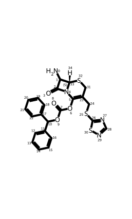 NC1C(=O)N2C(OC(=O)OC(c3ccccc3)c3ccccc3)=C(CSc3ncns3)CS[C@@H]12